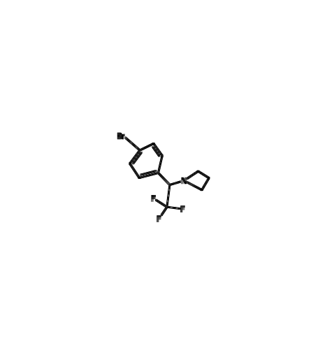 FC(F)(F)C(c1ccc(Br)cc1)N1CCC1